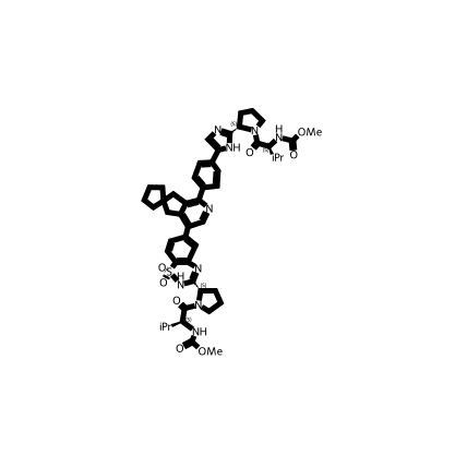 COC(=O)N[C@H](C(=O)N1CCC[C@H]1C1=Nc2cc(-c3cnc(-c4ccc(-c5cnc([C@@H]6CCCN6C(=O)[C@@H](NC(=O)OC)C(C)C)[nH]5)cc4)c4c3CC3(CCCC3)C4)ccc2S(=O)(=O)N1)C(C)C